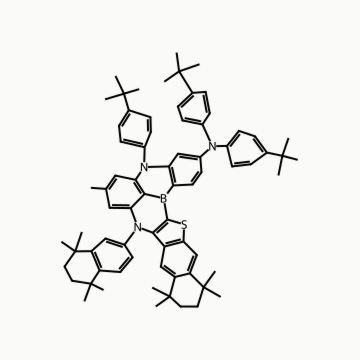 Cc1cc2c3c(c1)N(c1ccc4c(c1)C(C)(C)CCC4(C)C)c1c(sc4cc5c(cc14)C(C)(C)CCC5(C)C)B3c1ccc(N(c3ccc(C(C)(C)C)cc3)c3ccc(C(C)(C)C)cc3)cc1N2c1ccc(C(C)(C)C)cc1